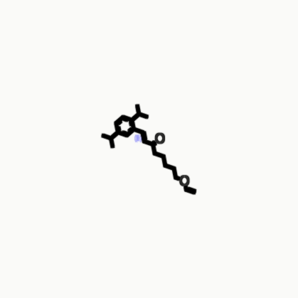 C=COCCCCCC(=O)/C=C/c1cc(C(C)C)ccc1C(C)C